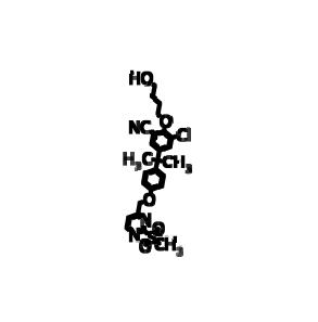 CC(C)(c1ccc(OCc2ccnc(S(C)(=O)=O)n2)cc1)c1cc(Cl)c(OCCCCO)c(C#N)c1